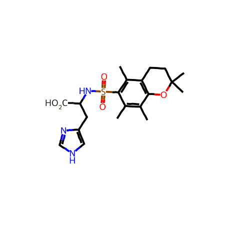 Cc1c(C)c(S(=O)(=O)NC(Cc2c[nH]cn2)C(=O)O)c(C)c2c1OC(C)(C)CC2